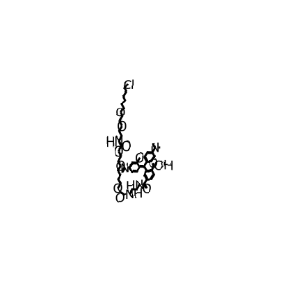 CN(C)c1ccc2c(-c3cc(C(=O)NCCN[C@H]4O[C@H]4OCCCCOCCOC(=O)NCCOCCOCCCCCCCl)ccc3C(=O)O)c3ccc(=[N+](C)C)cc-3oc2c1